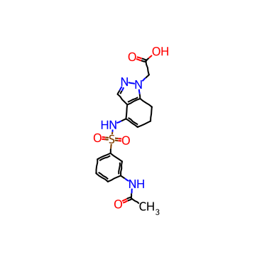 CC(=O)Nc1cccc(S(=O)(=O)NC2=CCCc3c2cnn3CC(=O)O)c1